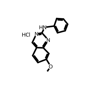 COc1ccc2cnc(Nc3ccccc3)nc2c1.Cl